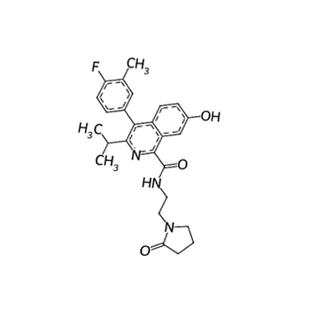 Cc1cc(-c2c(C(C)C)nc(C(=O)NCCN3CCCC3=O)c3cc(O)ccc23)ccc1F